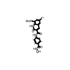 CNc1cc(F)cc2cc(C(=O)Nc3ccc(C(=O)NO)cc3)c(=O)[nH]c12